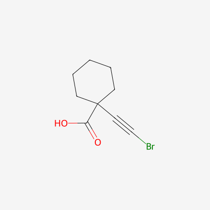 O=C(O)C1(C#CBr)CCCCC1